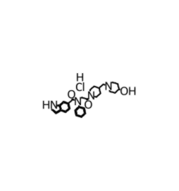 Cl.O=C(CN(C(=O)c1ccc2cc[nH]c2c1)c1ccccc1)N1CCC(CN2CCC(O)CC2)CC1